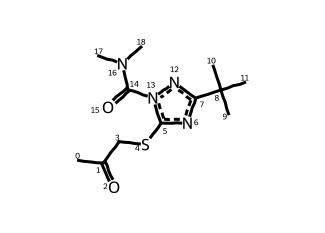 CC(=O)CSc1nc(C(C)(C)C)nn1C(=O)N(C)C